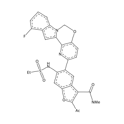 CCS(=O)(=O)Nc1cc2oc(C(C)=O)c(C(=O)NC)c2cc1-c1ccc2c(n1)-c1cc3c(F)cccc3n1CO2